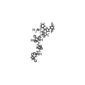 CC(C)(C)C(c1cc(-c2cc(F)ccc2F)cn1Cc1ccccc1)N(CCCN)C(=O)CSCC(NC(=O)CCc1noc(CCNC(=O)CN2C(=O)C=CC2=O)n1)C(=O)O